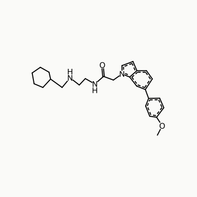 COc1ccc(-c2ccc3ccn(CC(=O)NCCNCC4CCCCC4)c3c2)cc1